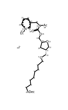 CCCCCCCCCCCCCCCCCCOC[C@H]1CO[C@H](COC(=O)N(Cc2ccc[n+](CC)c2)C(C)=O)C1.[I-]